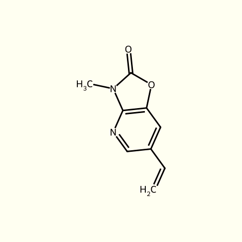 C=Cc1cnc2c(c1)oc(=O)n2C